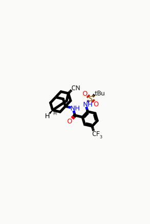 CC(C)(C)S(=O)(=O)Nc1ccc(C(F)(F)F)cc1C(=O)NC12CC3C[C@H](CC(C#N)(C3)C1)C2